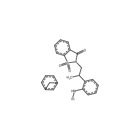 CCNc1ccccc1C(C)CN1C(=O)c2ccccc2S1(=O)=O.c1cc2cc(c1)C2